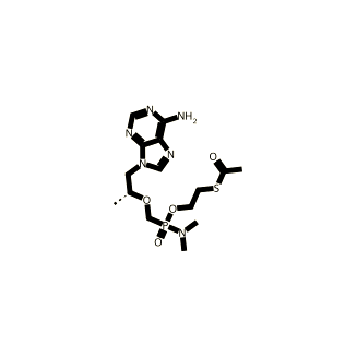 CC(=O)SCCOP(=O)(CO[C@H](C)Cn1cnc2c(N)ncnc21)N(C)C